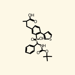 CC(Cc1ccc(-c2ccsc2)c(P(=O)(O)C(NC(=O)OC(C)(C)C)c2ccccc2)c1)C(=O)O